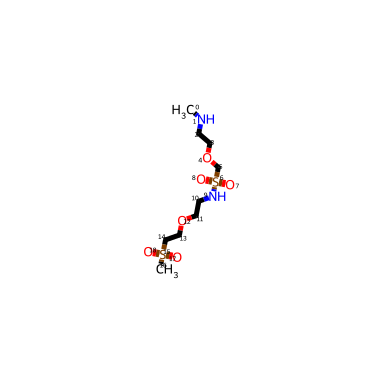 CNCCOCS(=O)(=O)NCCOCCS(C)(=O)=O